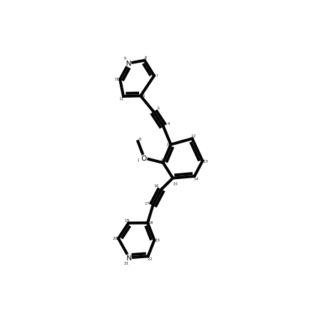 COc1c(C#Cc2ccncc2)cccc1C#Cc1ccncc1